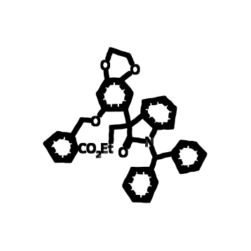 CCOC(=O)CC1(c2cc3c(cc2OCc2ccccc2)OCCO3)C(=O)N(C(c2ccccc2)c2ccccc2)c2ccccc21